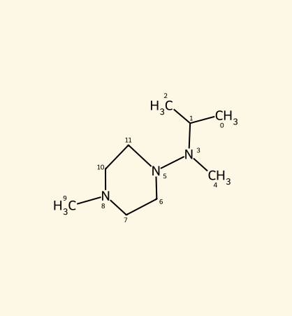 CC(C)N(C)N1CCN(C)CC1